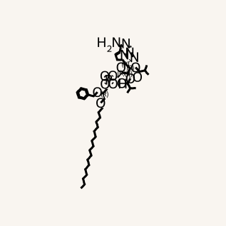 CCCCCCCCCCCCCCCCCCOC[C@H](COP(=O)(O)OC[C@H]1O[C@@](C#N)(C2CC=C3C(N)=NC=NN32)[C@H](OC(=O)C(C)C)[C@@H]1OC(=O)C(C)C)OCc1ccccc1